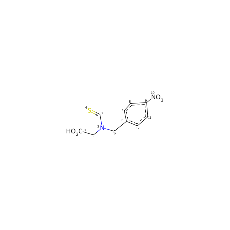 O=C(O)CN(C=S)Cc1ccc([N+](=O)[O-])cc1